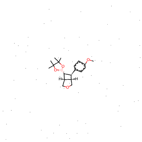 COc1ccc([C@H]2[C@@H]3COC[C@@H]3[C@H]2B2OC(C)(C)C(C)(C)O2)cc1